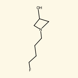 OC1CN(CCCCF)C1